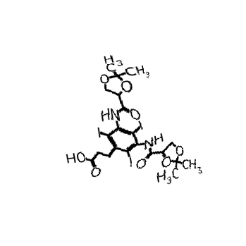 CC1(C)OCC(C(=O)Nc2c(I)c(CCC(=O)O)c(I)c(NC(=O)C3COC(C)(C)O3)c2I)O1